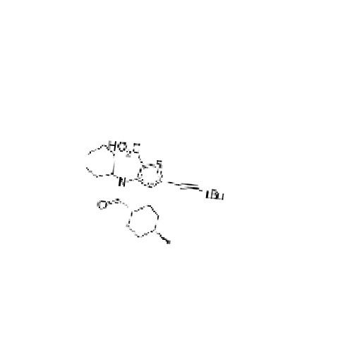 CC(C)(C)C#Cc1cc(N(C(=O)[C@H]2CC[C@H](C)CC2)C2CCCCC2)c(C(=O)O)s1